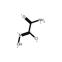 NC(=O)C(Cl)=NO